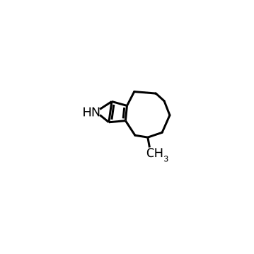 CC1CCCCCc2c(c3[nH]c2=3)C1